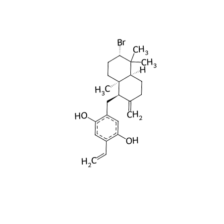 C=Cc1cc(O)c(C[C@@H]2C(=C)CC[C@@H]3C(C)(C)[C@@H](Br)CC[C@]23C)cc1O